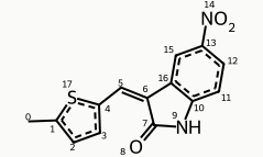 Cc1ccc(C=C2C(=O)Nc3ccc([N+](=O)[O-])cc32)s1